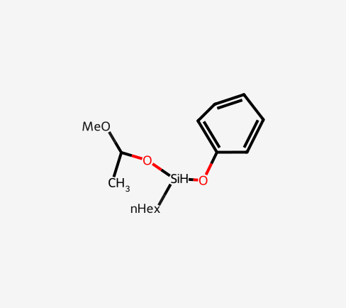 CCCCCC[SiH](Oc1ccccc1)OC(C)OC